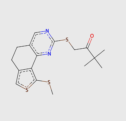 CSc1scc2c1-c1nc(SCC(=O)C(C)(C)C)ncc1CC2